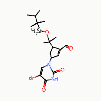 CC(C)C(C)(C)[SiH2]OC(C)(C)C1CC(n2cc(Br)c(=O)[nH]c2=O)C=C1C=O